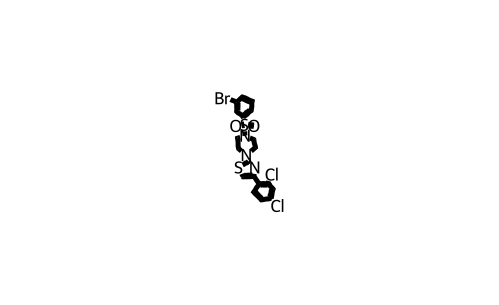 O=S(=O)(c1cccc(Br)c1)N1CCN(c2nc(-c3ccc(Cl)cc3Cl)cs2)CC1